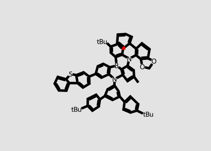 Cc1cc2c3c(c1)N(c1c(-c4ccccc4)ccc4c1OCO4)c1ccc(C(C)(C)C)cc1B3c1ccc(-c3ccc4c(c3)sc3ccccc34)cc1N2c1cc(-c2ccc(C(C)(C)C)cc2)cc(-c2ccc(C(C)(C)C)cc2)c1